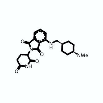 CN[C@H]1CC[C@@H](CNc2cccc3c2C(=O)N(C2CCC(=O)NC2=O)C3=O)CC1